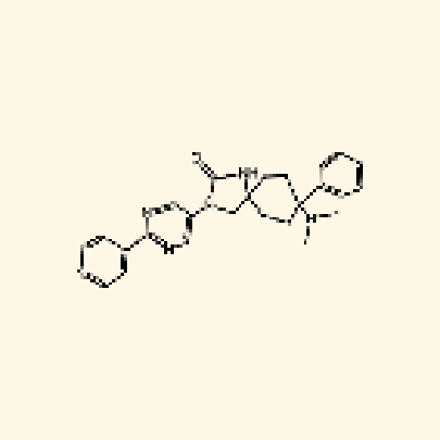 CN(C)C1(c2ccccc2)CCC2(CC1)CN(c1cnc(-c3ccncc3)nc1)C(=O)N2